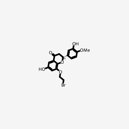 COc1ccc([C@H]2CC(=O)c3cc(O)cc(OCCBr)c3O2)cc1O